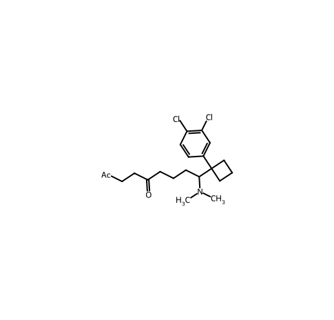 CC(=O)CCC(=O)CCCC(N(C)C)C1(c2ccc(Cl)c(Cl)c2)CCC1